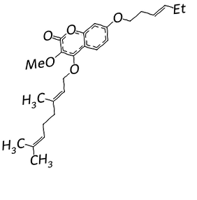 CC/C=C/CCOc1ccc2c(OC/C=C(\C)CCC=C(C)C)c(OC)c(=O)oc2c1